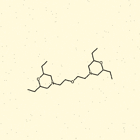 CCC1CN(CCOCCN2CC(CC)OC(CC)C2)CC(CC)O1